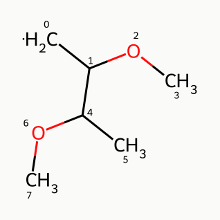 [CH2]C(OC)C(C)OC